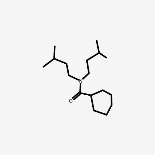 CC(C)CCN(CCC(C)C)C(=O)C1CCCCC1